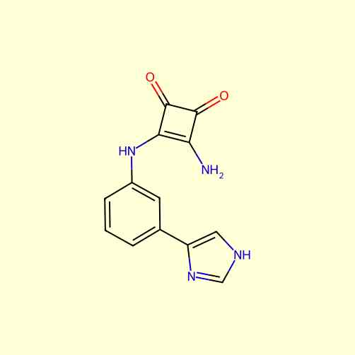 Nc1c(Nc2cccc(-c3c[nH]cn3)c2)c(=O)c1=O